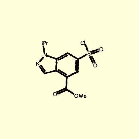 COC(=O)c1cc(S(=O)(=O)Cl)cc2c1cnn2C(C)C